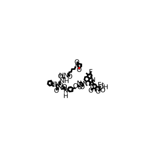 CC[C@@]1(O)C(=O)OCc2c1cc1n(c2=O)Cc2c-1nc1cc(F)c(C)c3c1c2[C@@H](N(C)C(=O)CN(C)C(=O)OCc1ccc(NC(=O)CNC(=O)[C@H](Cc2ccccc2)NC(=O)CNC(=O)CNC(=O)CCCCCN2C(=O)C=CC2=O)cc1)CC3